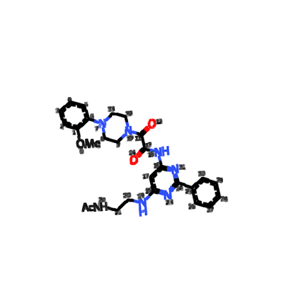 COc1ccccc1N1CCN(C(=O)C(=O)Nc2cc(NCCNC(C)=O)nc(-c3ccccc3)n2)CC1